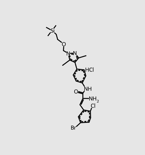 Cc1nn(COCC[Si](C)(C)C)c(C)c1-c1ccc(NC(=O)C(N)=Cc2cc(Br)ccc2Cl)cc1.Cl